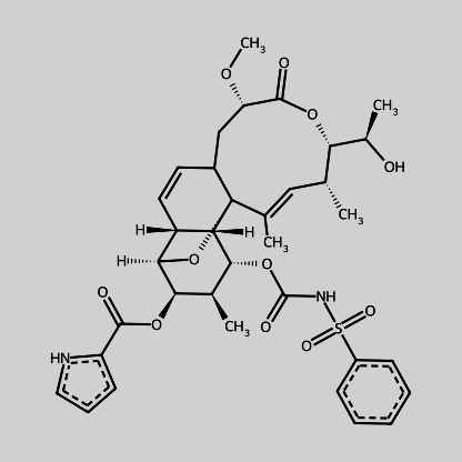 CO[C@H]1CC2C=C[C@H]3[C@H]4O[C@]2(/C(C)=C/[C@@H](C)[C@@H]([C@@H](C)O)OC1=O)[C@@H]3[C@H](OC(=O)NS(=O)(=O)c1ccccc1)[C@@H](C)[C@H]4OC(=O)c1ccc[nH]1